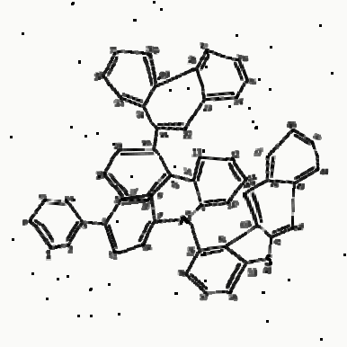 c1ccc(-c2ccc(N(c3ccccc3-c3ccccc3-c3cc4ccccc4c4ccccc34)c3cccc4sc5cc6ccccc6cc5c34)cc2)cc1